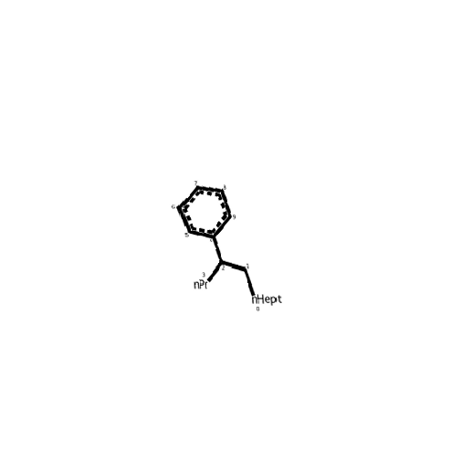 CCCCCCCCC(CCC)c1cc[c]cc1